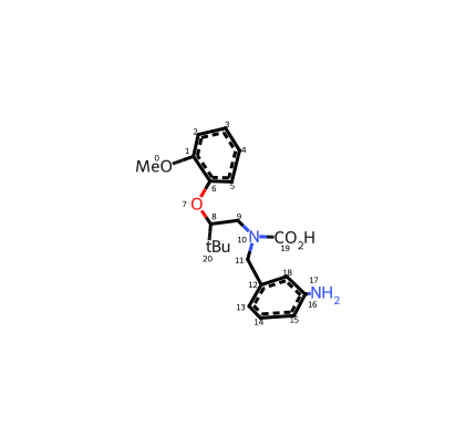 COc1ccccc1OC(CN(Cc1cccc(N)c1)C(=O)O)C(C)(C)C